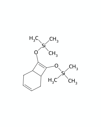 C[Si](C)(C)OC1=C(O[Si](C)(C)C)C2CC=CCC12